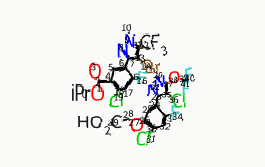 CC(C)OC(=O)c1cc(-c2nn(C)c(C(F)(F)F)c2Br)c(F)cc1Cl.Cn1nc(-c2cc(OCC(=O)O)c(Cl)cc2F)c(Cl)c1OC(F)F